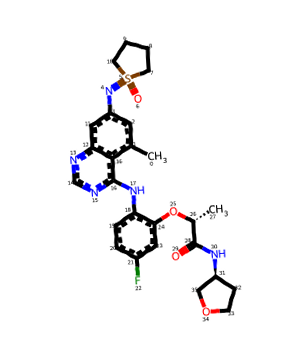 Cc1cc(N=S2(=O)CCCC2)cc2ncnc(Nc3ccc(F)cc3O[C@H](C)C(=O)N[C@H]3CCOC3)c12